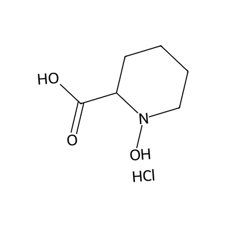 Cl.O=C(O)C1CCCCN1O